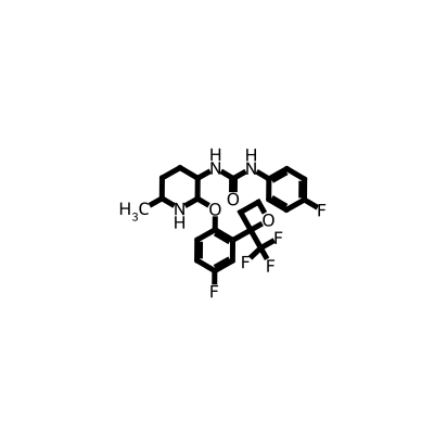 CC1CCC(NC(=O)Nc2ccc(F)cc2)C(Oc2ccc(F)cc2C2(C(F)(F)F)CCO2)N1